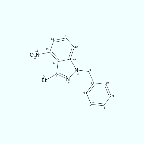 CCc1nn(Cc2ccccc2)c2cccc([N+](=O)[O-])c12